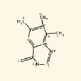 Cc1cc2c(=O)[nH]cnc2c(C)c1C